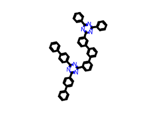 c1ccc(-c2ccc(-c3nc(-c4ccc(-c5ccccc5)cc4)nc(-c4cccc(-c5cccc(-c6cccc(-c7nc(-c8ccccc8)nc(-c8ccccc8)n7)c6)c5)c4)n3)cc2)cc1